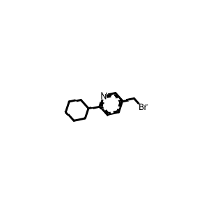 BrCc1ccc(C2CCCCC2)nc1